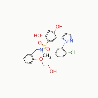 CN(Cc1ccccc1OCCO)S(=O)(=O)c1cc(-c2ccnn2-c2ccccc2Cl)c(O)cc1O